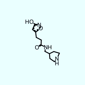 O=C(CCc1cc(O)no1)NCC1CCNCC1